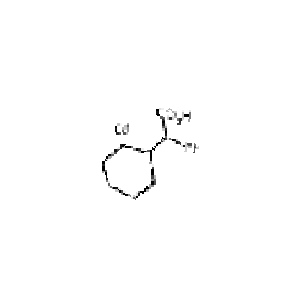 CCC(C(=O)O)C1CCCCC1.[Cd]